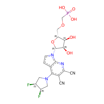 N#Cc1nc2c(ccn2[C@@H]2O[C@H](COCP(=O)(O)O)[C@@H](O)[C@H]2O)c(N2C[C@@H](F)[C@@H](F)C2)c1C#N